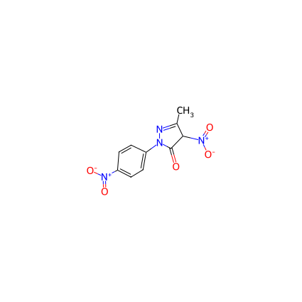 CC1=NN(c2ccc([N+](=O)[O-])cc2)C(=O)C1[N+](=O)[O-]